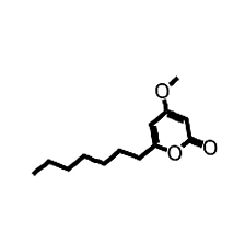 CCCCCCCc1cc(OC)cc(=O)o1